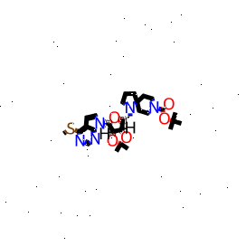 CSc1ncnc2c1ccn2[C@@H]1O[C@H](CN2CCCC23CCN(C(=O)OC(C)(C)C)CC3)[C@H]2OC(C)(C)O[C@H]21